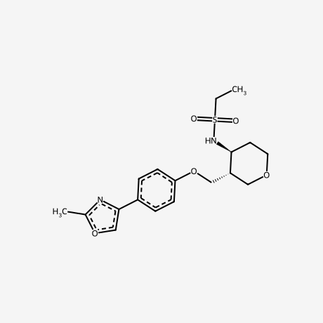 CCS(=O)(=O)N[C@H]1CCOC[C@@H]1COc1ccc(-c2coc(C)n2)cc1